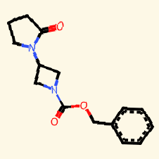 O=C(OCc1ccccc1)N1CC(N2CCCC2=O)C1